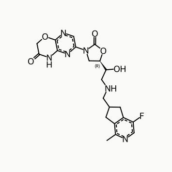 Cc1ncc(F)c2c1CC(CNCC(O)[C@H]1CN(c3cnc4c(n3)NC(=O)CO4)C(=O)O1)C2